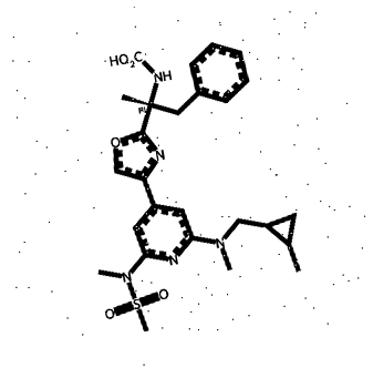 CC1CC1CN(C)c1cc(-c2coc([C@@](C)(Cc3ccccc3)NC(=O)O)n2)cc(N(C)S(C)(=O)=O)n1